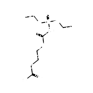 CCOP(=O)(NC(=O)OCCCC(=O)O)OCC